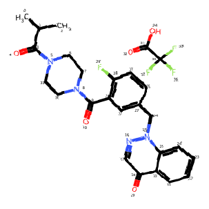 CC(C)C(=O)N1CCN(C(=O)c2cc(Cn3ncc(=O)c4ccccc43)ccc2F)CC1.O=C(O)C(F)(F)F